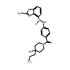 Nc1nc2c([S+]([O-])Nc3ccc(C(=O)N4CCC(O)(CCC(F)(F)F)CC4)cc3)cccc2s1